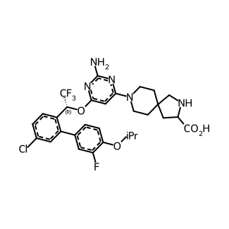 CC(C)Oc1ccc(-c2cc(Cl)ccc2[C@@H](Oc2cc(N3CCC4(CC3)CNC(C(=O)O)C4)nc(N)n2)C(F)(F)F)cc1F